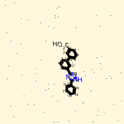 O=C(O)c1cccc(-c2cccc(-c3n[nH]c(-c4ccccc4)n3)c2)c1